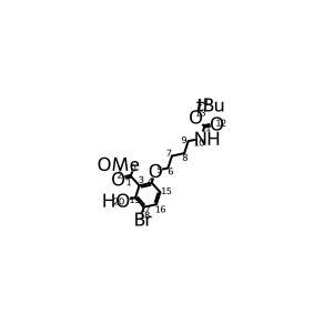 COC(=O)c1c(OCCCCNC(=O)OC(C)(C)C)ccc(Br)c1O